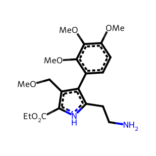 CCOC(=O)c1[nH]c(CCN)c(-c2ccc(OC)c(OC)c2OC)c1COC